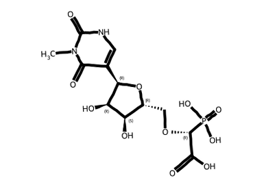 Cn1c(=O)[nH]cc([C@H]2O[C@H](CO[C@@H](C(=O)O)P(=O)(O)O)[C@@H](O)[C@H]2O)c1=O